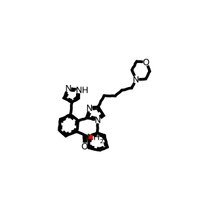 NC(=O)c1cccc(-c2cn[nH]c2)c1-c1nc(CCCCN2CCOCC2)cn1-c1ccccc1